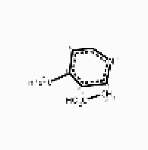 CC(=O)O.CCCCCc1ccncc1